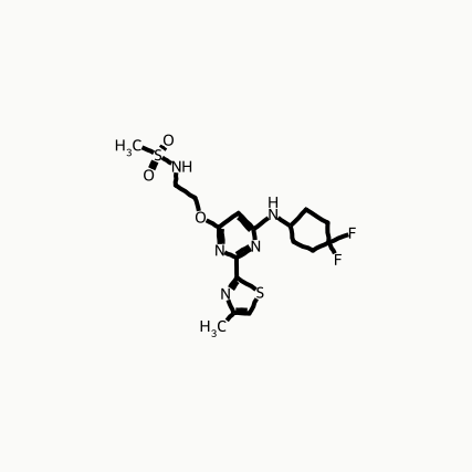 Cc1csc(-c2nc(NC3CCC(F)(F)CC3)cc(OCCNS(C)(=O)=O)n2)n1